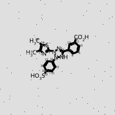 Cc1nc(N2N=C(c3cccc(C(=O)O)c3)NN2c2ccc(S(=O)(=O)O)cc2)sc1C